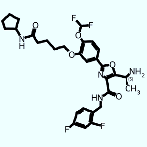 C[C@H](N)c1oc(-c2ccc(OC(F)F)c(OCCCCC(=O)NC3CCCC3)c2)nc1C(=O)NCc1ccc(F)cc1F